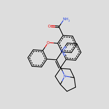 NC(=O)c1cccc2c1Oc1ccccc1C2=C1CC2CCC(C1)N2Cc1ccccn1